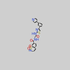 CN1CC=Cc2ccc(C(=O)NCC(=O)Nc3nc(-c4cccc(-c5ccncc5)c4)cs3)cc2S1(=O)=O